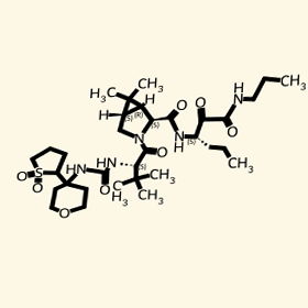 CCCNC(=O)C(=O)[C@H](CCC)NC(=O)[C@@H]1[C@@H]2[C@H](CN1C(=O)[C@@H](NC(=O)NC1(C3CCCS3(=O)=O)CCOCC1)C(C)(C)C)C2(C)C